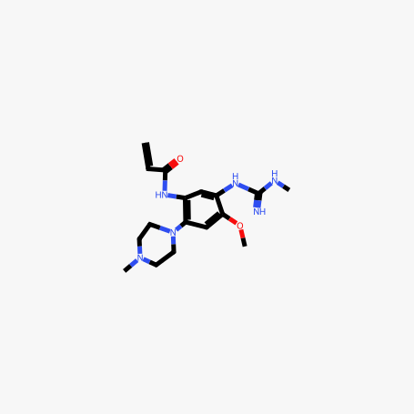 C=CC(=O)Nc1cc(NC(=N)NC)c(OC)cc1N1CCN(C)CC1